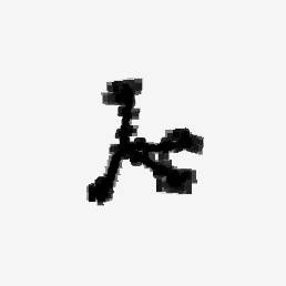 O=C(CCOCC(COCCC(=O)NCCCCCNC(=O)CCS[C@H]1C[C@@H](O)[C@@H](O)[C@@H](CO)O1)(COCCC(=O)NCCCCCNC(=O)CCS[C@H]1C[C@@H](O)[C@@H](O)[C@@H](CO)O1)NC(=O)CCCCCCCCCCC(=O)Oc1c(F)c(F)c(F)c(F)c1F)NCCCCCNC(=O)CCS[C@H]1C[C@@H](O)[C@@H](O)[C@@H](CO)O1